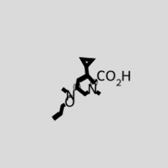 C=CCON(C)[C@@H]1C=C(C2CC2)[C@@H](C(=O)O)N(C)C1